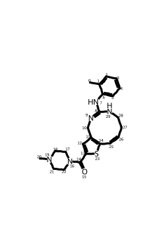 Cc1ccccc1N/C1=N/Cc2cc(C(=O)N3CCN(C)CC3)sc2/C=C\CCN1